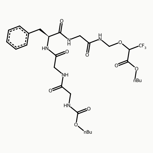 CCCCOC(=O)NCC(=O)NCC(=O)N[C@@H](Cc1ccccc1)C(=O)NCC(=O)NCOC(C(=O)OCCCC)C(F)(F)F